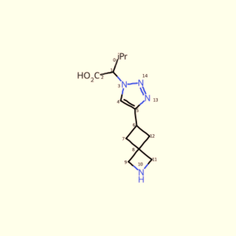 CC(C)C(C(=O)O)n1cc(C2CC3(CNC3)C2)nn1